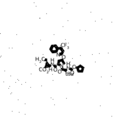 C=C[C@@H]1C[C@]1(NC(=O)[C@@H]1C[C@@H](Oc2cc(C(F)(F)F)c3ccccc3n2)CN1C(=O)[C@@H](NC(=O)OC1CCCC1)C(C)(C)C)C(=O)O